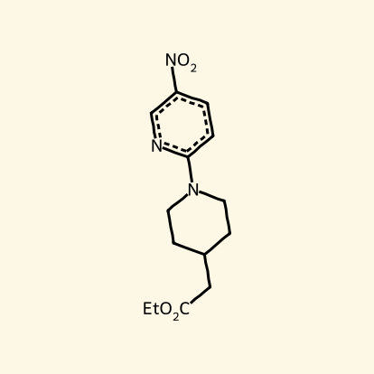 CCOC(=O)CC1CCN(c2ccc([N+](=O)[O-])cn2)CC1